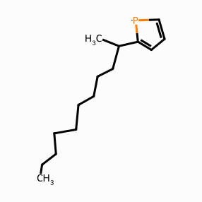 CCCCCCCCCC(C)C1=CC=C[P]1